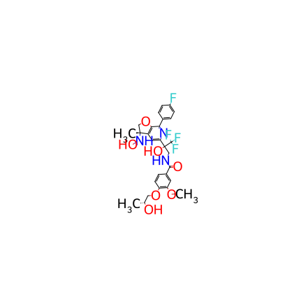 COc1cc(C(=O)NCC(O)(c2cc3c(c(-c4ccc(F)cc4)n2)OC[C@@]3(C)NO)C(F)(F)F)ccc1OC[C@@H](C)O